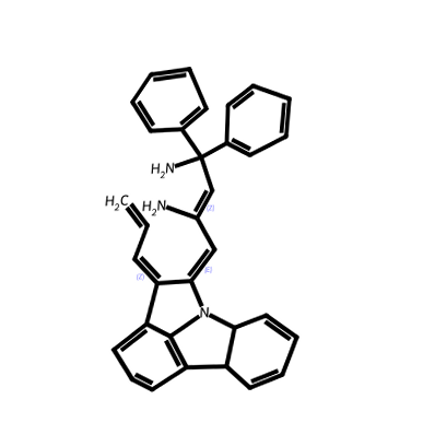 C=C\C=c1/c(=C\C(N)=C\C(N)(c2ccccc2)c2ccccc2)n2c3c(cccc13)C1C=CC=CC12